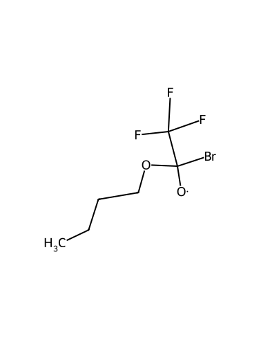 CCCCOC([O])(Br)C(F)(F)F